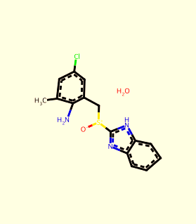 Cc1cc(Cl)cc(C[S+]([O-])c2nc3ccccc3[nH]2)c1N.O